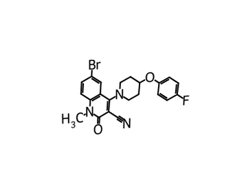 Cn1c(=O)c(C#N)c(N2CCC(Oc3ccc(F)cc3)CC2)c2cc(Br)ccc21